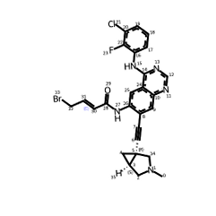 CN1C[C@H]2C[C@@]2(C#Cc2cc3ncnc(Nc4cccc(Cl)c4F)c3cc2NC(=O)/C=C/CBr)C1